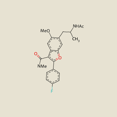 CNC(=O)c1c(-c2ccc(F)cc2)oc2cc(CC(C)NC(C)=O)c(OC)cc12